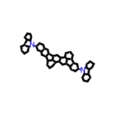 c1cc2c3cc(-n4c5ccccc5c5ccccc54)ccc3c3cc4c(cc5c6cc7ccc(-n8c9ccccc9c9ccccc98)cc7cc6c6cccc4c65)c(c1)c23